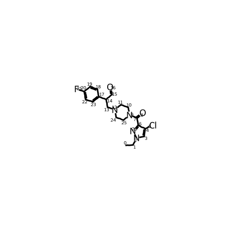 CCn1cc(Cl)c(C(=O)N2CCN(CC(C=O)c3ccc(F)cc3)CC2)n1